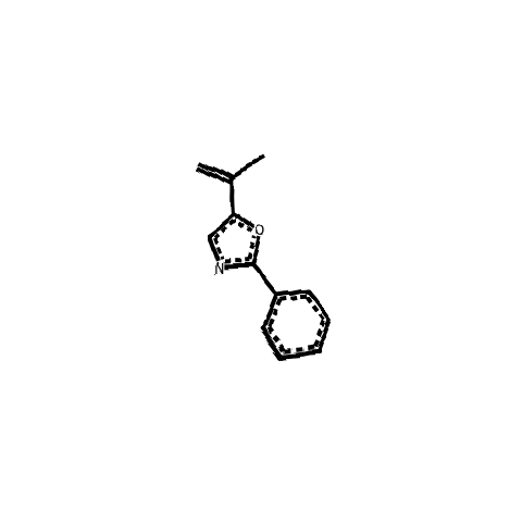 C=C(C)c1cnc(-c2ccccc2)o1